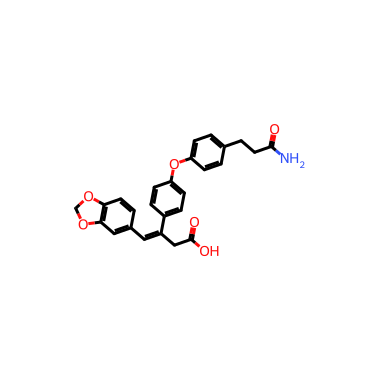 NC(=O)CCc1ccc(Oc2ccc(/C(=C\c3ccc4c(c3)OCO4)CC(=O)O)cc2)cc1